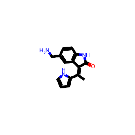 CC(=C1C(=O)Nc2ccc(CN)cc21)c1ccc[nH]1